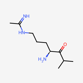 CC(=N)NCCC[C@H](N)C(=O)C(C)C